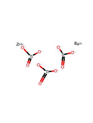 [Ba+2].[O]=[Ti]([O-])[O-].[O]=[Ti]([O-])[O-].[O]=[Ti]([O-])[O-].[Zr+4]